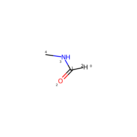 [2H]C(=O)NC